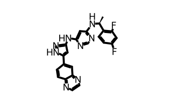 C[C@H](Nc1cc(Nc2cc(-c3ccc4nccnc4c3)[nH]n2)ncn1)c1ccc(F)cc1F